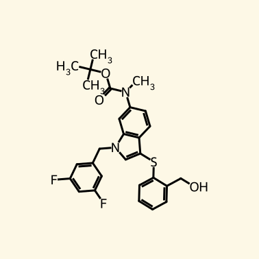 CN(C(=O)OC(C)(C)C)c1ccc2c(Sc3ccccc3CO)cn(Cc3cc(F)cc(F)c3)c2c1